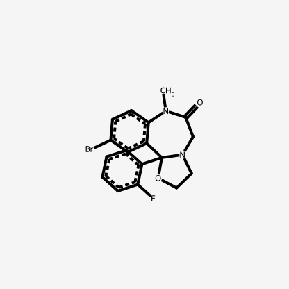 CN1C(=O)CN2CCOC2(c2ccccc2F)c2cc(Br)ccc21